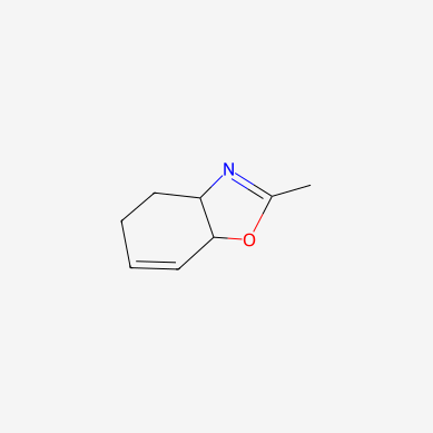 CC1=NC2CCC=CC2O1